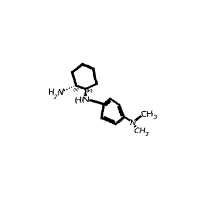 CN(C)c1ccc(N[C@@H]2CCCC[C@H]2N)cc1